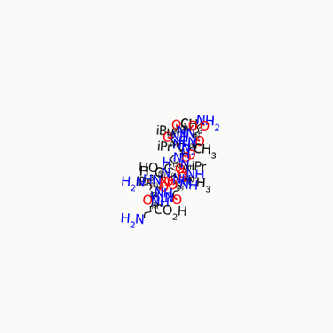 CC[C@H](C)[C@H](NC(=O)[C@@H](N)C(C)C)C(=O)N[C@@H](C)C(=O)N[C@@H](CCC(N)=O)C(=O)N[C@@H](C)C(=O)N1CCC[C@H]1C(=O)N1CCC[C@H]1C(=O)N[C@H](C(=O)N[C@@H](C)C(=O)N[C@@H](CCC(N)=O)C(=O)N[C@@H](CCC(=O)O)C(=O)N[C@@H](C)C(=O)N[C@@H](CC(C)C)C(=O)N[C@@H](CCCCN)C(=O)N[C@@H](CCCCN)C(=O)O)C(C)C